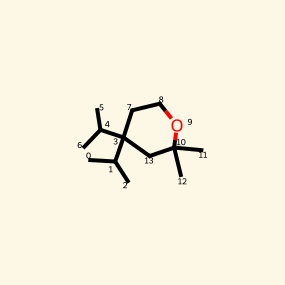 CC(C)C1(C(C)C)CCOC(C)(C)C1